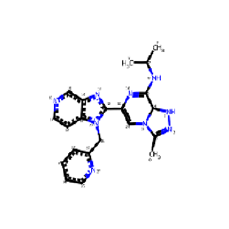 CC1=NNC2C(NC(C)C)=NC(c3nc4cnccc4n3Cc3ccccn3)=CN12